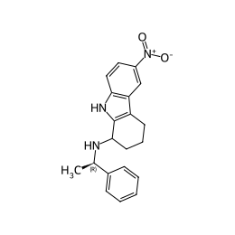 C[C@@H](NC1CCCc2c1[nH]c1ccc([N+](=O)[O-])cc21)c1ccccc1